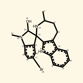 CC1CCc2c([nH]c3ccccc23)C2(N1)c1cc(Br)ccc1N(C)C2O